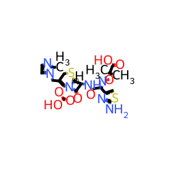 Cc1nccn1CC1=C(OC(=O)O)N2C(=O)C(NC(=O)C(=NOC(C)(C)C(=O)O)c3csc(N)n3)[C@@H]2SC1